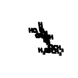 COc1cc(-n2cnc(Nc3nc4c(c(N5CCC[C@H]5CO)n3)CNC4)c2)cc(C)c1C